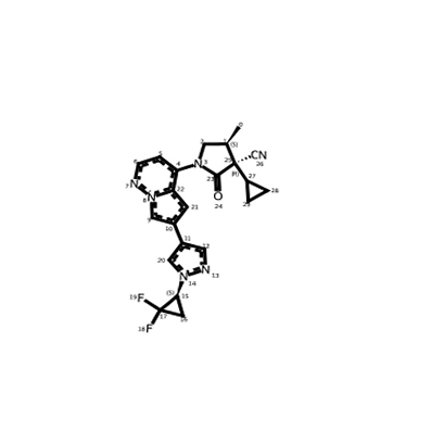 C[C@@H]1CN(c2ccnn3cc(-c4cnn([C@H]5CC5(F)F)c4)cc23)C(=O)[C@]1(C#N)C1CC1